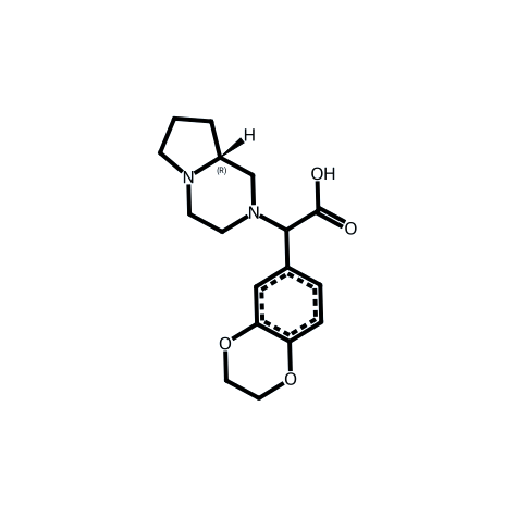 O=C(O)C(c1ccc2c(c1)OCCO2)N1CCN2CCC[C@@H]2C1